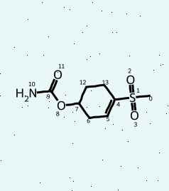 CS(=O)(=O)C1=CCC(OC(N)=O)CC1